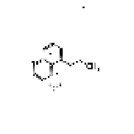 O.[CH2]CCc1cccc2ccccc12